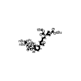 CCCCN(OS(=O)(=O)ON1C(=O)N2C[C@@H]1CC[C@H]2c1cc(CCN(C(=O)OC(C)(C)C)C2CN(C(=O)OC(C)(C)C)C2)on1)C(CCC)(CCCC)CCCC